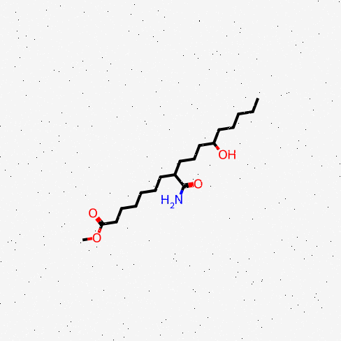 CCCCCC(O)CCCC(CCCCCCC(=O)OC)C(N)=O